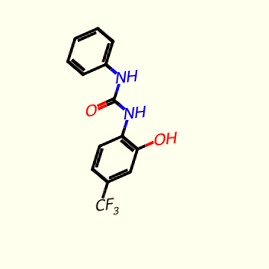 O=C(Nc1ccccc1)Nc1ccc(C(F)(F)F)cc1O